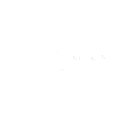 O=C(NC1(c2nncs2)CC1)OCc1ccccc1